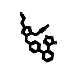 CC#CCc1nc(CC=S)nn1Cc1ccc(-c2ccccc2-c2nnn[nH]2)cc1